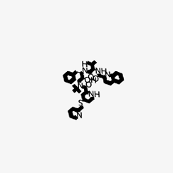 CC(C)[C@H](NC(=O)c1ccc2ccccc2n1)C(=O)N[C@@H](Cc1ccccc1)[C@H](O)CN(C(=O)C1C[C@H](SCc2ccccn2)CCN1)C(C)(C)C